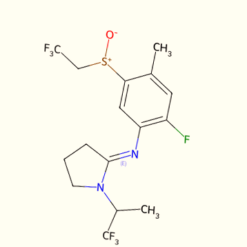 Cc1cc(F)c(/N=C2\CCCN2C(C)C(F)(F)F)cc1[S+]([O-])CC(F)(F)F